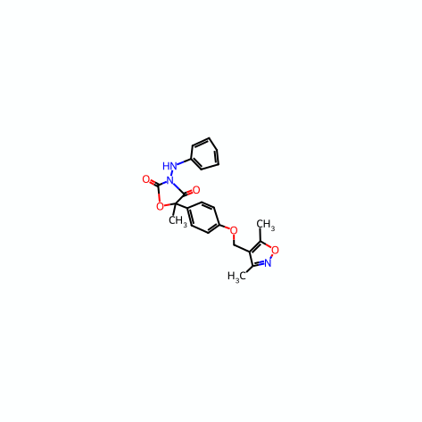 Cc1noc(C)c1COc1ccc(C2(C)OC(=O)N(Nc3ccccc3)C2=O)cc1